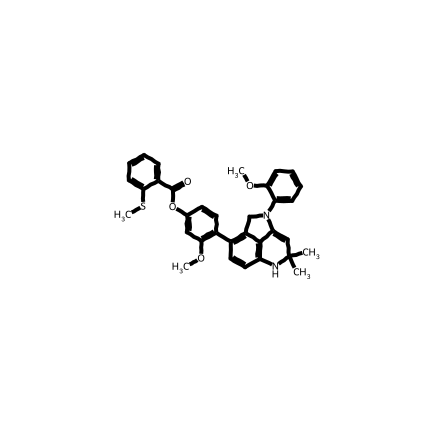 COc1cc(OC(=O)c2ccccc2SC)ccc1-c1ccc2c3c1CN(c1ccccc1OC)C3=CC(C)(C)N2